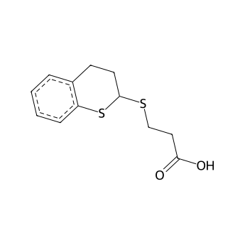 O=C(O)CCSC1CCc2ccccc2S1